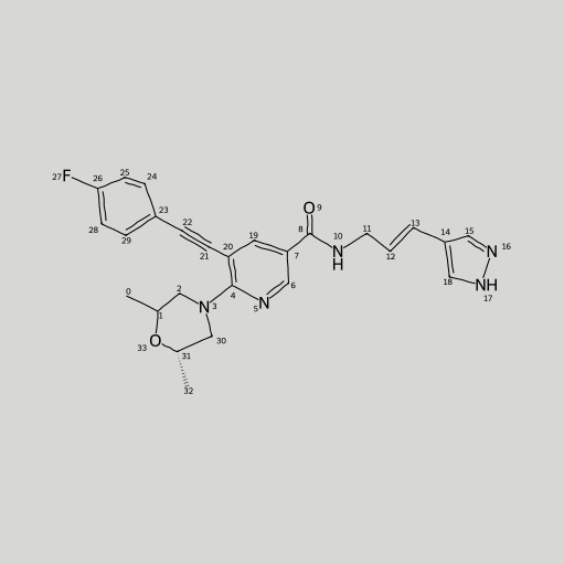 CC1CN(c2ncc(C(=O)NC/C=C/c3cn[nH]c3)cc2C#Cc2ccc(F)cc2)C[C@H](C)O1